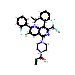 C=CC(=O)N1CCN(c2nc(C(F)F)c(-c3ccccc3C(C)C)c3nc(-c4ccccc4F)c(Cl)cc23)CC1